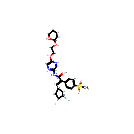 CS(=O)(=O)c1ccc(/C(=C\[C@H]2C[C@@H](F)[C@@H](F)C2)C(=O)Nc2cnc(OCCOC3CCCCO3)cn2)cc1